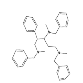 CN(CCC(C(CN(C)Cc1ccccc1)c1ccccc1)N(C)Cc1ccccc1)Cc1ccccc1